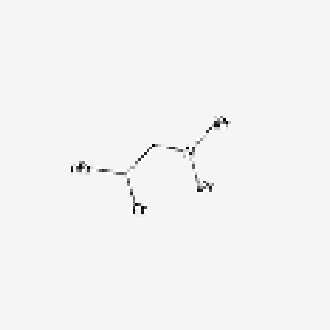 CCCC(CC)CN(C(C)C)C(C)C